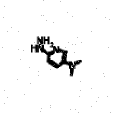 CN(C)c1ccc(NN)nc1